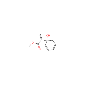 C=C(C(=O)OC)C1(O)[CH]C=CC=C1